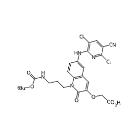 CC(C)(C)OC(=O)NCCCn1c(=O)c(OCC(=O)O)cc2cc(Nc3nc(Cl)c(C#N)cc3Cl)ccc21